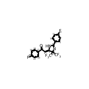 O=C(C=C1NC(c2ccc(F)cc2)=NC1(C(F)(F)F)C(F)(F)F)c1ccc(F)cc1